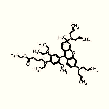 C=CCN(CC=C)c1ccc2c(c1)OC1=CC(C)(N(CC=C)CC=C)C=CC1=C2c1cc(N(CC)CC)c(N(CC)CCCC(=O)OCC)cc1OC